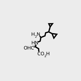 NC(CCC(C1CC1)C1CC1)CN[C@@H](C=O)CC(=O)O